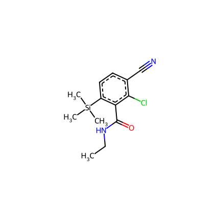 CCNC(=O)c1c([Si](C)(C)C)ccc(C#N)c1Cl